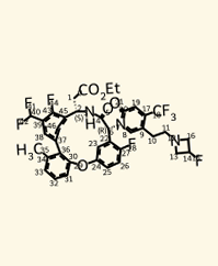 CCOC(=O)C[C@@H]1NC(=O)[C@H](n2cc(CCN3CC(F)C3)c(C(F)(F)F)cc2=O)c2cc(ccc2F)Oc2cccc(C)c2-c2cc(C(F)F)c(F)c1c2